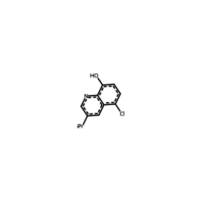 CC(C)c1cnc2c(O)ccc(Cl)c2c1